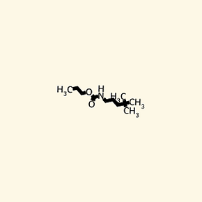 CCCOC(=O)NCCCC(C)(C)C